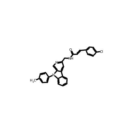 Cc1ccc(-n2c3ccccc3c3cc(CNC(=O)/C=C/c4ccc(Cl)cc4)ncc32)cc1